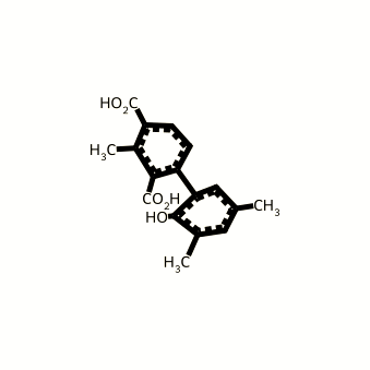 Cc1cc(C)c(O)c(-c2ccc(C(=O)O)c(C)c2C(=O)O)c1